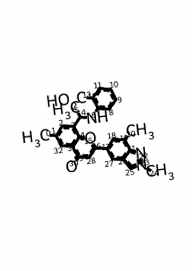 Cc1cc(C(C)Nc2ccccc2C(=O)O)c2oc(-c3cc(C)c4nn(C)cc4c3)cc(=O)c2c1